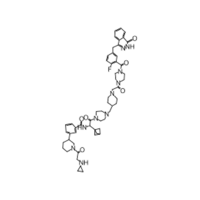 O=C(N[C@@H](C(=O)N1CCN(CC2CCN(CC(=O)N3CCN(C(=O)c4cc(Cc5n[nH]c(=O)c6ccccc56)ccc4F)CC3)CC2)CC1)C12CC(C1)C2)c1cccc(C2CCCN(C(=O)CNC3CC3)C2)c1